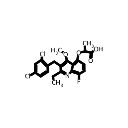 CCc1nc2c(F)ccc(OC(C)C(=O)O)c2c(OC)c1Cc1ccc(Cl)cc1Cl